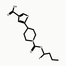 CCCC(F)OC(=O)N1CCC(c2cc(C(=O)O)cs2)CC1